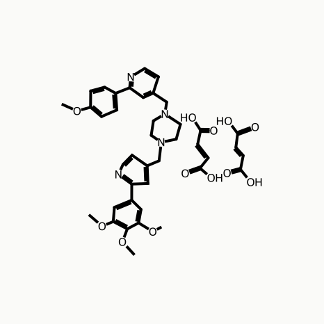 COc1ccc(-c2cc(CN3CCN(Cc4ccnc(-c5cc(OC)c(OC)c(OC)c5)c4)CC3)ccn2)cc1.O=C(O)C=CC(=O)O.O=C(O)C=CC(=O)O